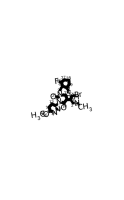 CNCc1c(Br)sc2c1c(=O)n(-c1ccc(OC)nn1)c(=O)n2Cc1c(F)cccc1F